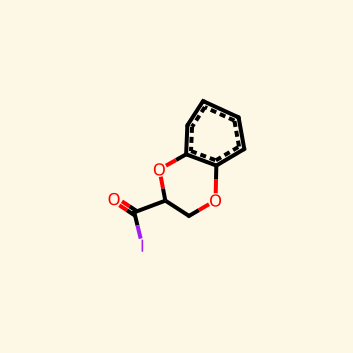 O=C(I)C1COc2ccccc2O1